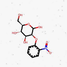 O=[N+]([O-])c1ccccc1O[C@@H]1C(O)O[C@H](CO)[C@@H](O)[C@@H]1O